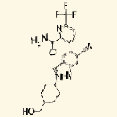 N#Cc1cc2nn(C3CCC(CO)CC3)cc2cc1-c1ccc(C(F)(F)F)nc1C(N)=O